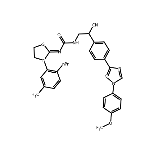 CCCc1ccc(C)cc1N1CCS/C1=N\C(=O)NCC(C#N)c1ccc(-c2ncn(-c3ccc(OC(F)(F)F)cc3)n2)cc1